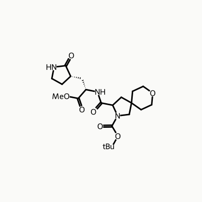 COC(=O)[C@H](C[C@@H]1CCNC1=O)NC(=O)C1CC2(CCOCC2)CN1C(=O)OC(C)(C)C